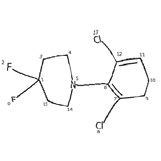 FC1(F)CCN(C2=C(Cl)CCC=C2Cl)CC1